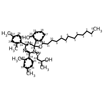 CCCCCCCCCCCCCOC1(c2ccccc2O)N=C(c2ccc(C)cc2C)N=C(c2ccc(C)cc2C)N1OCC(C)O